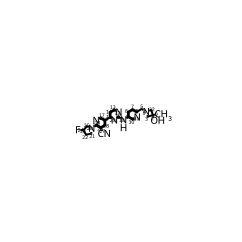 CC1(O)CN(Cc2ccc(Nc3nccc(-c4cnc(N5CCC(F)C5)c(C#N)c4)n3)cn2)C1